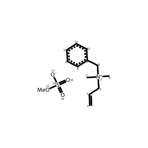 C=CC[N+](C)(C)Cc1ccccc1.COS(=O)(=O)[O-]